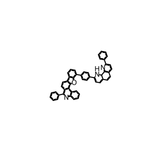 C1=Cc2ccc(-c3ccccc3)nc2C2NC(c3ccc(-c4cccc5c4oc4c5ccc5c(-c6ccccc6)nc6ccccc6c54)cc3)=CC=C12